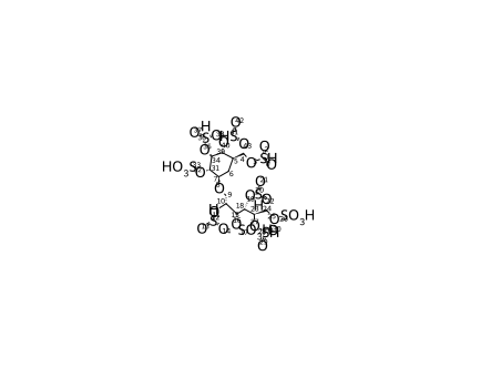 O=[SH](=O)OC[C@H]1C[C@@H](OC[C@@H](O[SH](=O)=O)[C@@H](OS(=O)(=O)O)[C@H](O[SH](=O)=O)[C@@H](COS(=O)(=O)O)O[SH](=O)=O)[C@H](OS(=O)(=O)O)[C@@H](O[SH](=O)=O)[C@@H]1O[SH](=O)=O